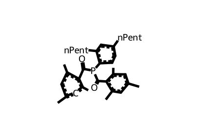 CCCCCc1ccc(P(C(=O)c2c(C)cc(C)cc2C)C(=O)c2c(C)cc(C)cc2C)c(CCCCC)c1